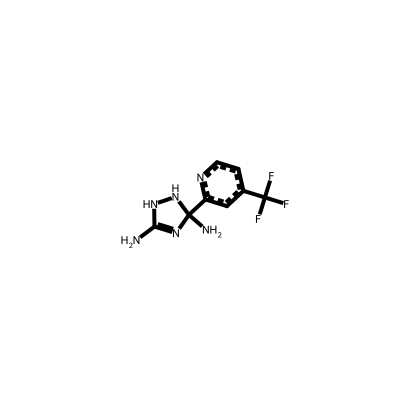 NC1=NC(N)(c2cc(C(F)(F)F)ccn2)NN1